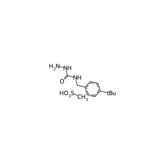 CC(C)(C)c1ccc(CNC(=O)NN)cc1.CS(=O)(=O)O